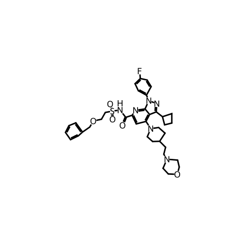 O=C(NS(=O)(=O)CCOCc1ccccc1)c1cc(N2CCC(CCN3CCOCC3)CC2)c2c(C3CCC3)nn(-c3ccc(F)cc3)c2n1